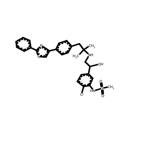 CC(C)(Cc1ccc(-c2csc(-c3ccccc3)n2)cc1)NCC(O)c1ccc(Cl)c(NS(C)(=O)=O)c1